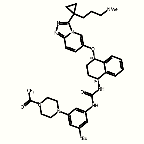 CNCCCC1(c2nnc3ccc(O[C@@H]4CC[C@H](NC(=O)Nc5cc(N6CCN(C(=O)C(F)(F)F)CC6)cc(C(C)(C)C)c5)c5ccccc54)cn23)CC1